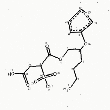 CCCCC(COC(=O)C(CC(=O)O)S(=O)(=O)O)Oc1ccccc1